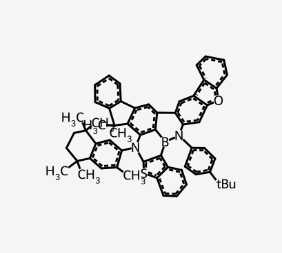 Cc1cc2c(cc1N1c3sc4ccccc4c3B3c4c(cc5c(c41)C(C)(C)c1ccccc1-5)-c1cc4c(cc1N3c1ccc(C(C)(C)C)cc1)oc1ccccc14)C(C)(C)CCC2(C)C